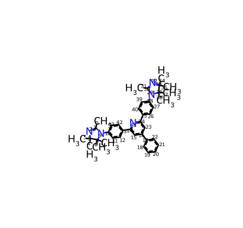 CC1=NC(C)(C)C(C)(C)N1c1ccc(-c2cc(-c3ccccc3)cc(-c3ccc(N4C(C)=NC(C)(C)C4(C)C)cc3)n2)cc1